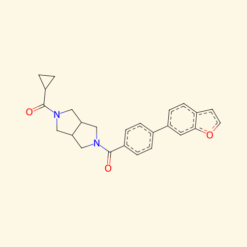 O=C(c1ccc(-c2ccc3ccoc3c2)cc1)N1CC2CN(C(=O)C3CC3)CC2C1